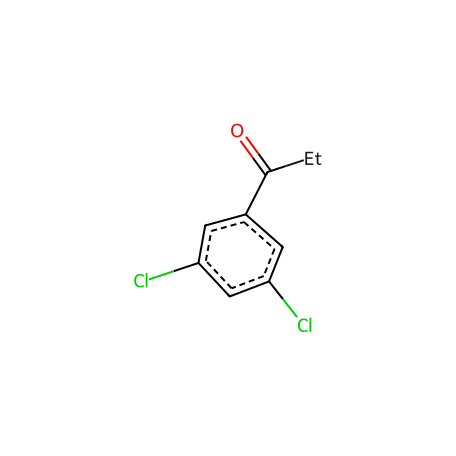 CCC(=O)c1cc(Cl)cc(Cl)c1